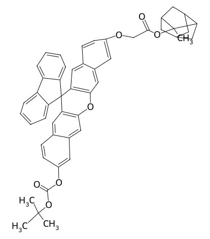 CC(C)(C)OC(=O)Oc1ccc2cc3c(cc2c1)Oc1cc2cc(OCC(=O)OC4(C)C5CC6CC(C5)C4C6)ccc2cc1C31c2ccccc2-c2ccccc21